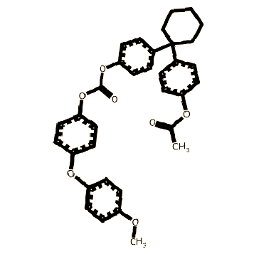 COc1ccc(Oc2ccc(OC(=O)Oc3ccc(C4(c5ccc(OC(C)=O)cc5)CCCCC4)cc3)cc2)cc1